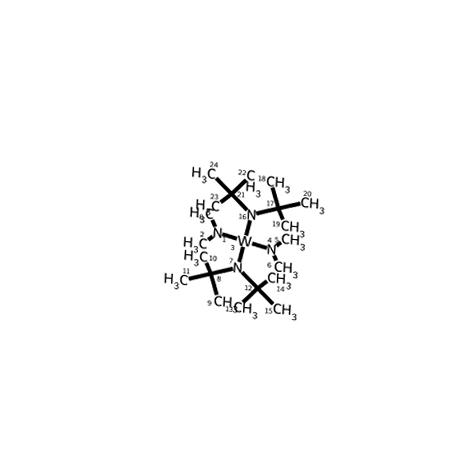 C[N](C)[W]([N](C)C)([N](C(C)(C)C)C(C)(C)C)[N](C(C)(C)C)C(C)(C)C